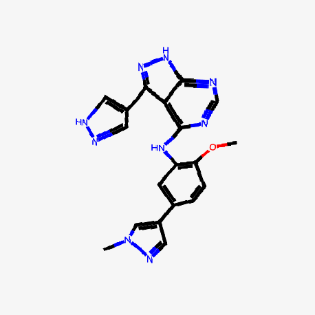 COc1ccc(-c2cnn(C)c2)cc1Nc1ncnc2[nH]nc(-c3cn[nH]c3)c12